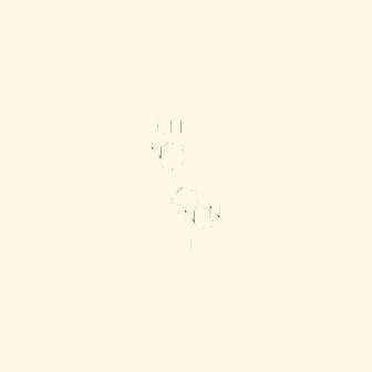 Cc1ccc(-c2ccn3c(I)cnc3c2)cn1